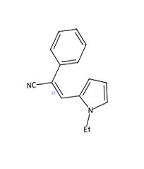 CCn1cccc1/C=C(/C#N)c1ccccc1